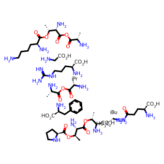 CC(C)[C@H](N)C(=O)OC(=O)[C@H](C)N.CC[C@H](C)[C@H](N)C(=O)O.C[C@@H](OC(=O)[C@@H](N)[C@@H](C)OC(=O)[C@@H]1CCCN1)[C@H](N)C(=O)O.C[C@H](N)C(=O)OC(=O)[C@@H](N)[C@@H](C)OC(=O)[C@@H](N)CCCCN.N=C(N)NCCC[C@H](N)C(=O)O.NC(=O)CC[C@H](N)C(=O)O.NCC(=O)O.N[C@@H](Cc1ccccc1)C(=O)O